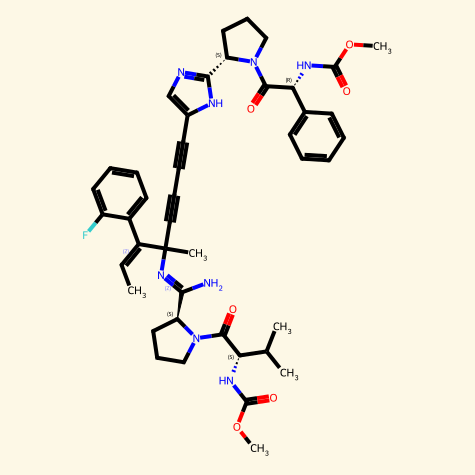 C/C=C(/c1ccccc1F)C(C)(C#CC#Cc1cnc([C@@H]2CCCN2C(=O)[C@H](NC(=O)OC)c2ccccc2)[nH]1)/N=C(\N)[C@@H]1CCCN1C(=O)[C@@H](NC(=O)OC)C(C)C